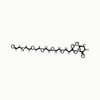 O=CCSCCOCCOCCOCCOCCC(=O)ON1C(=O)CCC1=O